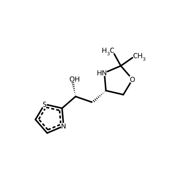 CC1(C)N[C@@H](C[C@@H](O)c2nccs2)CO1